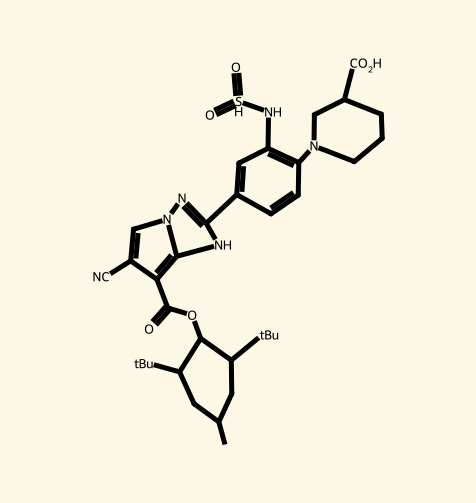 CC1CC(C(C)(C)C)C(OC(=O)c2c(C#N)cn3nc(-c4ccc(N5CCCC(C(=O)O)C5)c(N[SH](=O)=O)c4)[nH]c23)C(C(C)(C)C)C1